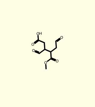 COC(=O)C(CC=O)C(C=O)CC(=O)O